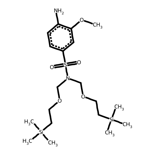 COc1cc(S(=O)(=O)N(COCC[Si](C)(C)C)COCC[Si](C)(C)C)ccc1N